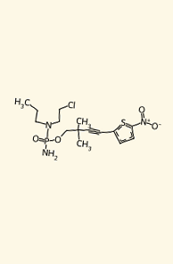 CCCN(CCCl)P(N)(=O)OCC(C)(C)C#Cc1ccc([N+](=O)[O-])s1